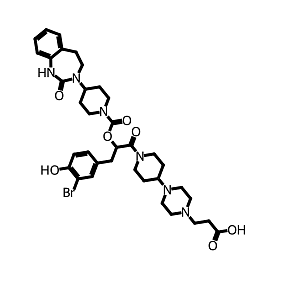 O=C(O)CCN1CCN(C2CCN(C(=O)C(Cc3ccc(O)c(Br)c3)OC(=O)N3CCC(N4CCc5ccccc5NC4=O)CC3)CC2)CC1